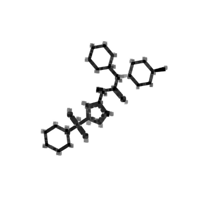 C[C@H]1CC[C@H](N(C(=O)Nc2ncc(S(=O)(=O)N3CCCCC3)s2)C2CCCCC2)CC1